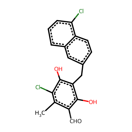 Cc1c(Cl)c(O)c(Cc2ccc3c(Cl)cccc3c2)c(O)c1C=O